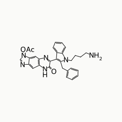 CC(=O)On1cnc2cc3[nH]c(=O)c(-c4c(Cc5ccccc5)n(CCCCN)c5ccccc45)nc3cc21